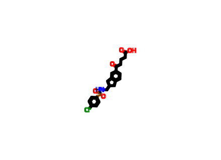 O=C(O)CCCC(=O)c1ccc2c(c1)CC(CNS(=O)(=O)c1ccc(Cl)cc1)C2